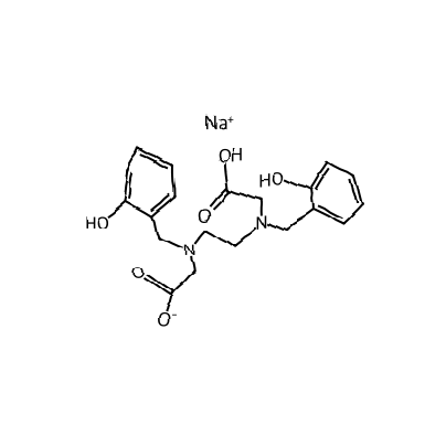 O=C([O-])CN(CCN(CC(=O)O)Cc1ccccc1O)Cc1ccccc1O.[Na+]